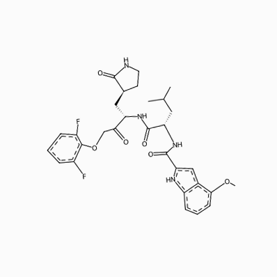 COc1cccc2[nH]c(C(=O)N[C@@H](CC(C)C)C(=O)N[C@@H](C[C@@H]3CCNC3=O)C(=O)COc3c(F)cccc3F)cc12